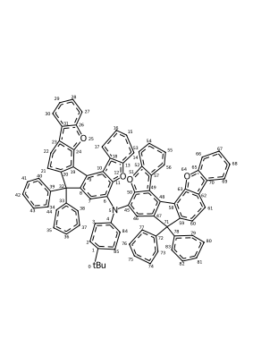 CC(C)(C)c1ccc(N(c2cc3c(c4c2oc2ccccc24)-c2c(ccc4c2oc2ccccc24)C3(c2ccccc2)c2ccccc2)c2cc3c(c4c2oc2ccccc24)-c2c(ccc4c2oc2ccccc24)C3(c2ccccc2)c2ccccc2)cc1